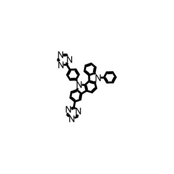 c1ccc(-n2c3ccccc3c3c2ccc2c4cc(-c5ncncn5)ccc4n(-c4ccc(-c5ncncn5)cc4)c23)cc1